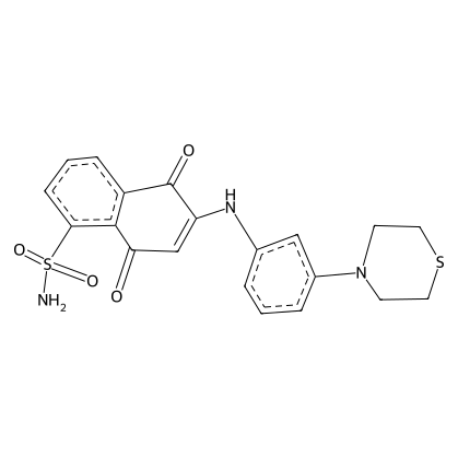 NS(=O)(=O)c1cccc2c1C(=O)C=C(Nc1cccc(N3CCSCC3)c1)C2=O